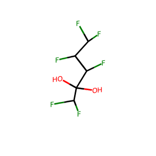 OC(O)(C(F)F)C(F)C(F)C(F)F